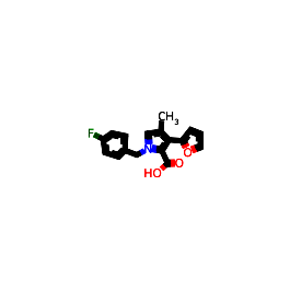 Cc1cn(Cc2ccc(F)cc2)c(C(=O)O)c1-c1ccco1